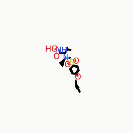 CC#CCOc1ccc(S(=O)(=O)CN(C2CC2)C(C(=O)NO)C(C)C)cc1